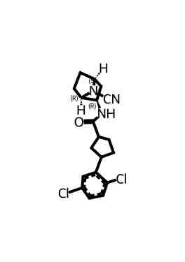 N#CN1[C@H]2CC[C@@H]1[C@H](NC(=O)C1CCC(c3cc(Cl)ccc3Cl)C1)C2